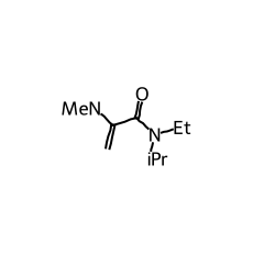 C=C(NC)C(=O)N(CC)C(C)C